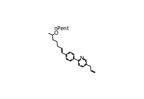 C=CCc1ccc(-c2ccc(C=CCCCC(C)OCCCCC)cc2)nc1